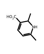 C[C]1NC(C)=CC=C1C(=O)O